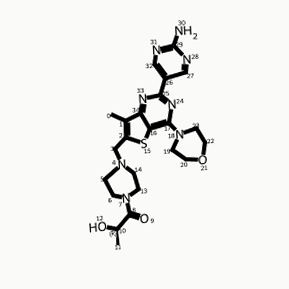 Cc1c(CN2CCN(C(=O)[C@@H](C)O)CC2)sc2c(N3CCOCC3)nc(-c3cnc(N)nc3)nc12